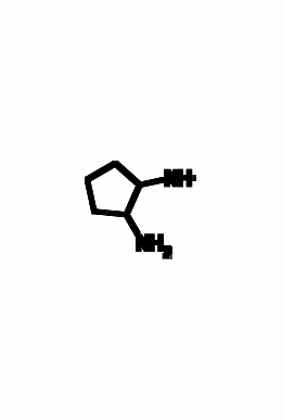 [NH]C1CCCC1N